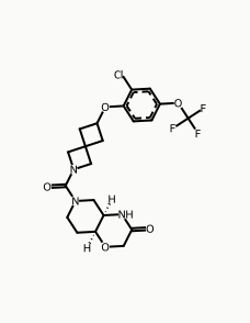 O=C1CO[C@H]2CCN(C(=O)N3CC4(CC(Oc5ccc(OC(F)(F)F)cc5Cl)C4)C3)C[C@H]2N1